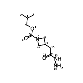 CC(C)COC(=O)N1CC(CC(=O)NN)C1